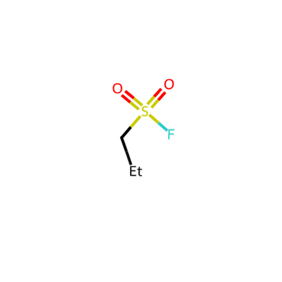 CCCS(=O)(=O)F